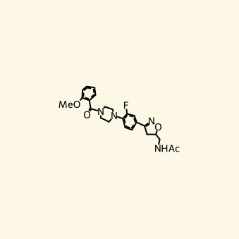 COc1ccccc1C(=O)N1CCN(c2ccc(C3=NOC(CNC(C)=O)C3)cc2F)CC1